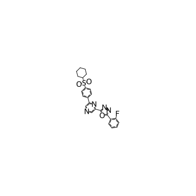 O=S(=O)(c1ccc(-c2cncc(-c3nnc(-c4ccccc4F)o3)n2)cc1)C1CCCCC1